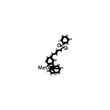 COc1ccc(CC=CCS(=O)(=O)c2ccccc2)cc1C12CC3CC(CC(C3)C1)C2